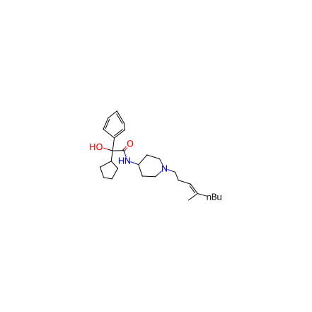 CCCC/C(C)=C/CCN1CCC(NC(=O)C(O)(c2ccccc2)C2CCCC2)CC1